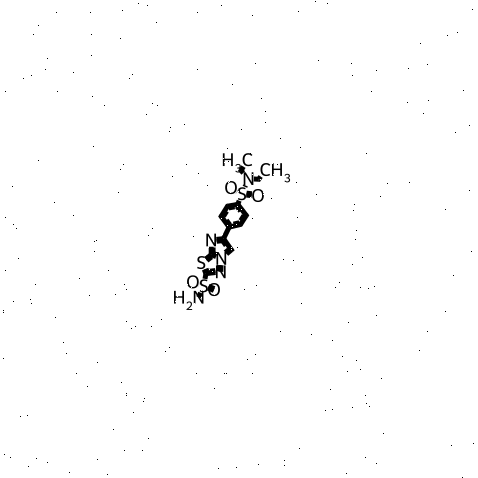 CCN(CC)S(=O)(=O)c1ccc(-c2cn3nc(S(N)(=O)=O)sc3n2)cc1